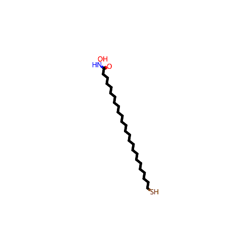 O=C(CCCCCCCCCCCCCCCCCCCCCCCCCS)NO